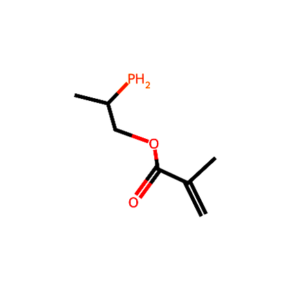 C=C(C)C(=O)OCC(C)P